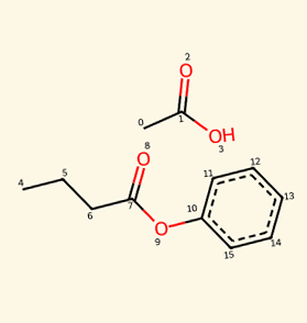 CC(=O)O.CCCC(=O)Oc1ccccc1